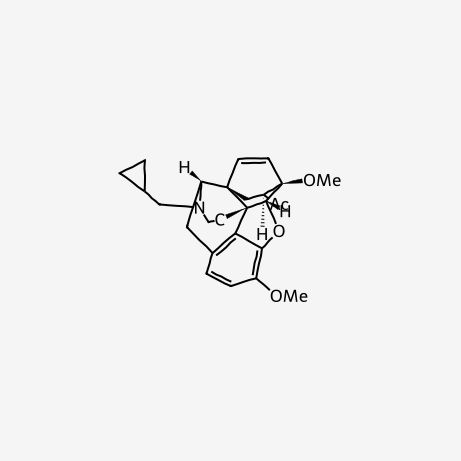 COc1ccc2c3c1O[C@H]1[C@@]4(OC)C=C[C@@]5(C[C@@H]4C(C)=O)[C@@H](C2)N(CC2CC2)CC[C@]315